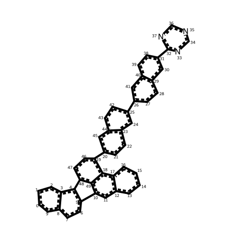 c1ccc2c3c(ccc2c1)-c1cc2ccccc2c2c(-c4ccc5cc(-c6ccc7cc(-c8ncncn8)ccc7c6)ccc5c4)ccc-3c12